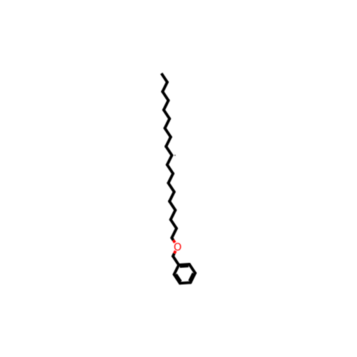 CCCCCCCCC[CH]CCCCCCCCCOCc1ccccc1